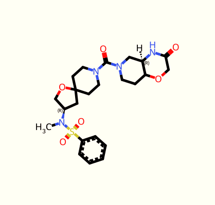 CN([C@H]1COC2(CCN(C(=O)N3CCC4OCC(=O)N[C@@H]4C3)CC2)C1)S(=O)(=O)c1ccccc1